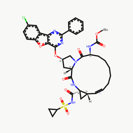 CC(C)(C)OC(=O)N[C@H]1CCCCC/C=C\[C@@H]2C[C@@]2(C(=O)NS(=O)(=O)C2CC2)NC(=O)[C@@H]2C[C@@H](Oc3nc(-c4ccccc4)nc4c3oc3ccc(Cl)cc34)CN2C1=O